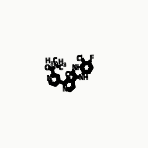 CN(C)C(=O)c1cc(-c2nccc3c(Nc4ccc(F)c(Cl)c4)c(N)oc23)ccn1